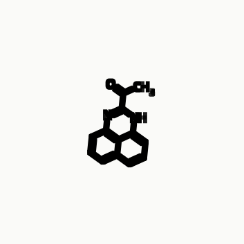 CC(=O)C1=Nc2cccc3cccc(c23)N1